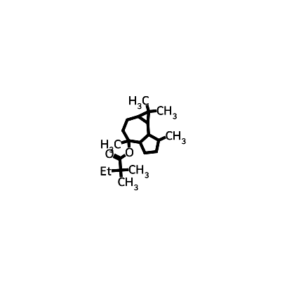 CCC(C)(C)C(=O)OC1(C)CCC2C(C3C(C)CCC31)C2(C)C